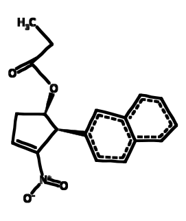 CCC(=O)O[C@@H]1CC=C([N+](=O)[O-])[C@@H]1c1ccc2ccccc2c1